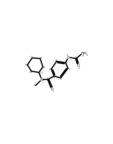 CN(C(=O)c1ccc(OC(N)=O)cc1)C1CCCCC1